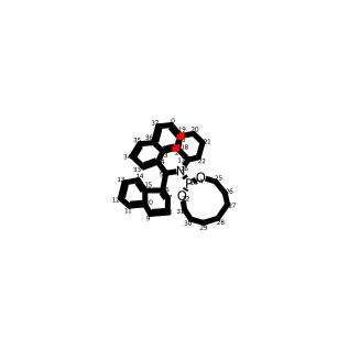 c1ccc2c(C(c3cccc4ccccc34)N(C3CCCCC3)P3OCCCCCCCO3)cccc2c1